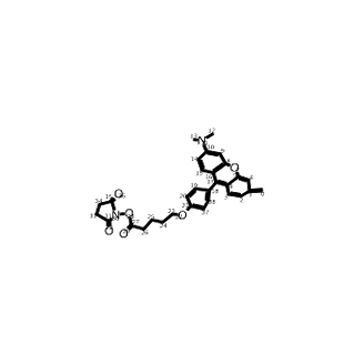 C=c1ccc2c(c1)Oc1cc(N(C)C)ccc1C=2c1ccc(OCCCCC(=O)ON2C(=O)CCC2=O)cc1